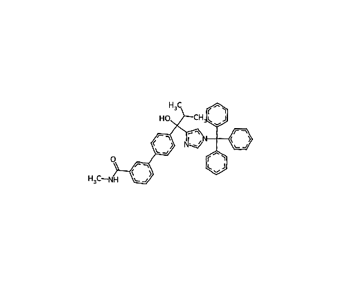 CNC(=O)c1cccc(-c2ccc(C(O)(c3cn(C(c4ccccc4)(c4ccccc4)c4ccccc4)cn3)C(C)C)cc2)c1